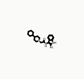 CC(=O)c1[nH]c2ccccc2c1NC(=O)CN1CCC(C2CCCCC2)CC1